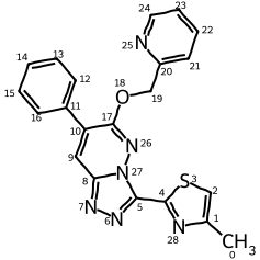 Cc1csc(-c2nnc3cc(-c4ccccc4)c(OCc4ccccn4)nn23)n1